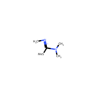 C/N=C(\SC)N(C)C